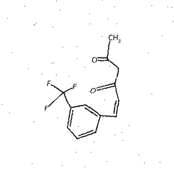 CC(=O)CC(=O)/C=C\c1cccc(C(F)(F)F)c1